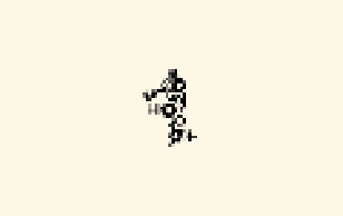 CCN(Cc1ccc(OC)c(OCCCOC)c1)C(=O)[C@H]1CNC[C@@H](C(=O)CC(CO)CC(C)C)C1